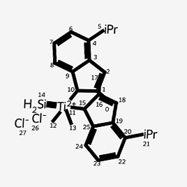 CC1=Cc2c(C(C)C)cccc2[CH]1[Ti+2]([CH3])([CH3])(=[SiH2])[CH]1C(C)=Cc2c(C(C)C)cccc21.[Cl-].[Cl-]